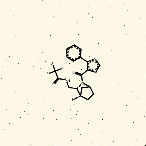 O=C(c1ncsc1-c1ccccc1)N1C2CC[C@@H](C2)[C@H]1CNC(=O)C(F)(F)F